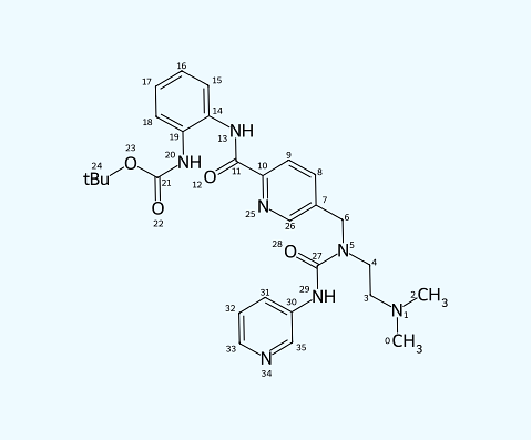 CN(C)CCN(Cc1ccc(C(=O)Nc2ccccc2NC(=O)OC(C)(C)C)nc1)C(=O)Nc1cccnc1